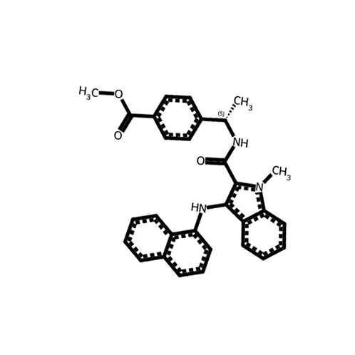 COC(=O)c1ccc([C@H](C)NC(=O)c2c(Nc3cccc4ccccc34)c3ccccc3n2C)cc1